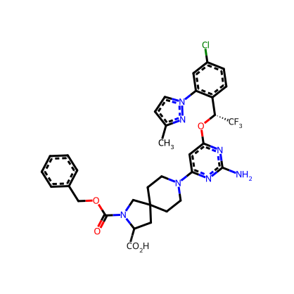 Cc1ccn(-c2cc(Cl)ccc2[C@@H](Oc2cc(N3CCC4(CC3)CC(C(=O)O)N(C(=O)OCc3ccccc3)C4)nc(N)n2)C(F)(F)F)n1